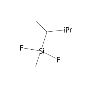 CC(C)C(C)[Si](C)(F)F